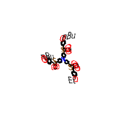 CCCCOc1ccc(-c2sc(-c3ccc(N(c4ccc(-c5sc(-c6ccc(OCC)cc6)c6c5OCCO6)cc4)c4ccc(-c5sc(-c6ccc(OCCCC)cc6)c6c5OCCO6)cc4)cc3)c3c2OCCO3)cc1